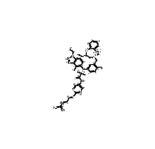 CC[C@@H]1CN(Cc2cc([C@@H](c3ccc4c(nnn4CC)c3C)C(C)(C)C(=O)Nc3cnc(OCCNC(=O)O)nc3)ccc2C)S(=O)(=O)c2ccccc2O1